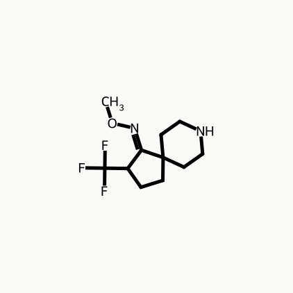 CON=C1C(C(F)(F)F)CCC12CCNCC2